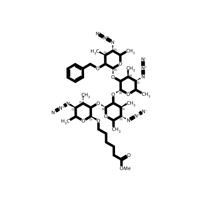 COC(=O)CCCCCO[C@H]1OC(C)[C@@H](N=[N+]=[N-])[C@H](C)C1O[C@H]1OC(C)[C@@H](N=[N+]=[N-])[C@H](C)C1O[C@H]1OC(C)[C@@H](N=[N+]=[N-])[C@H](C)C1O[C@H]1OC(C)[C@@H](N=[N+]=[N-])[C@H](C)C1OCc1ccccc1